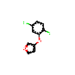 Clc1ccc(Cl)c(Oc2ccoc2)c1